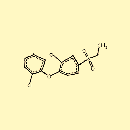 CCS(=O)(=O)c1ccc(Oc2c[c]ccc2Cl)c(Cl)c1